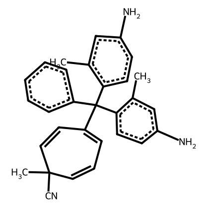 Cc1cc(N)ccc1C(C1=CC=CC(C)(C#N)C=C1)(c1ccccc1)c1ccc(N)cc1C